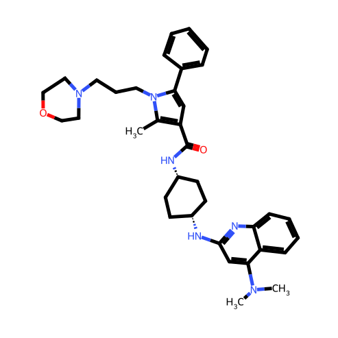 Cc1c(C(=O)N[C@H]2CC[C@@H](Nc3cc(N(C)C)c4ccccc4n3)CC2)cc(-c2ccccc2)n1CCCN1CCOCC1